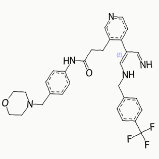 N=C/C(=C\NCc1ccc(C(F)(F)F)cc1)c1ccncc1CCC(=O)Nc1ccc(CN2CCOCC2)cc1